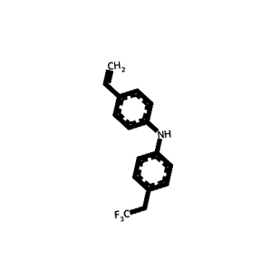 C=Cc1ccc(Nc2ccc(CC(F)(F)F)cc2)cc1